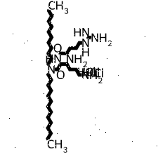 CCCCCCCCCCCCCCN(CCCCCCCCCCCC)C(=O)C(CCCCN)NC(=O)C(N)CCCNC(=N)N.Cl.Cl.Cl